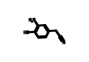 N#CCc1ccc(O)c(N)c1